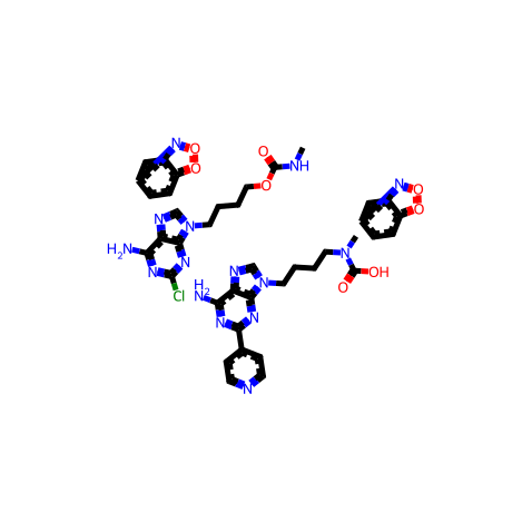 CN(CCCCn1cnc2c(N)nc(-c3ccncc3)nc21)C(=O)O.CNC(=O)OCCCCn1cnc2c(N)nc(Cl)nc21.c1cc2cc3c1oon2-3.c1cc2cc3c1oon2-3